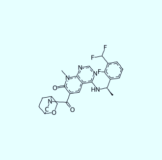 C[C@@H](Nc1ncnc2c1cc(C(=O)N1CC3CCC1CO3)c(=O)n2C)c1cccc(C(F)F)c1F